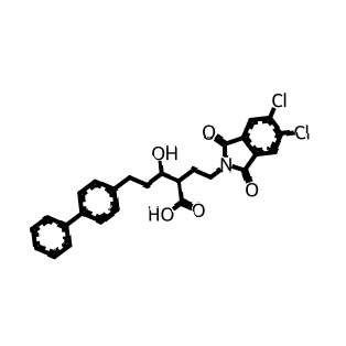 O=C(O)C(CCN1C(=O)c2cc(Cl)c(Cl)cc2C1=O)C(O)CCc1ccc(-c2ccccc2)cc1